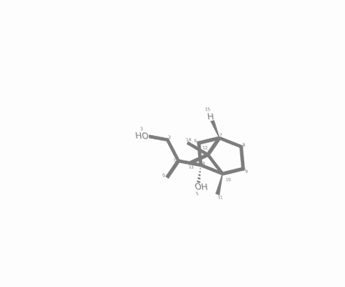 CC(CO)[C@@]1(O)C[C@@H]2CC[C@@]1(C)C2(C)C